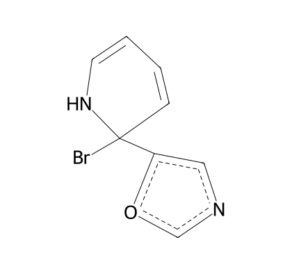 BrC1(c2cnco2)C=CC=CN1